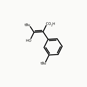 CC(C)(C)C(O)=C(C(=O)O)c1cccc(C(C)(C)C)c1